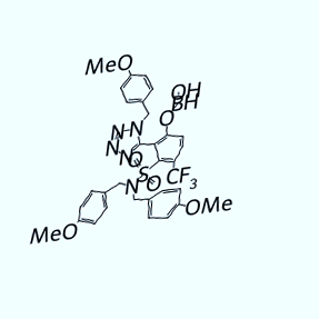 COc1ccc(CN(Cc2ccc(OC)cc2)S(=O)(=O)c2c(C(F)(F)F)ccc(OBO)c2-c2nnnn2Cc2ccc(OC)cc2)cc1